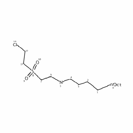 CCCCCCCCCCCC[N]CCS(=O)(=O)CCCl